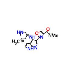 CNC(=O)c1coc(-c2cnc3[nH]ccc3c2N[C@H]2CNC[C@@H](C)C2)n1